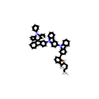 C=C/C=C\c1sc2c(-c3ccc4c5ccccc5n(-c5ccc6c(c5)c5ccccc5n6-c5ccc6c(c5)C5(c7ccccc7-6)c6ccccc6N(c6ccccc6)c6ccccc65)c4c3)cccc2c1C